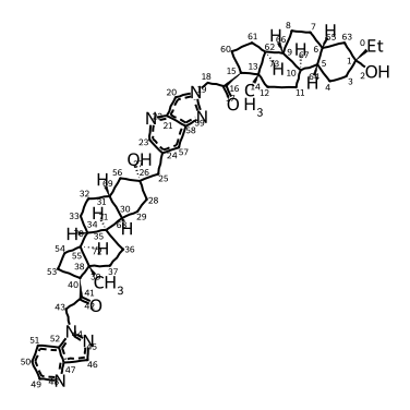 CC[C@@]1(O)CC[C@H]2[C@H](CC[C@@H]3[C@@H]2CC[C@]2(C)[C@@H](C(=O)Cn4cc5ncc(C[C@@]6(O)CC[C@H]7[C@H](CC[C@@H]8[C@@H]7CC[C@]7(C)[C@@H](C(=O)Cn9ncc%10ncccc%109)CC[C@@H]87)C6)cc5n4)CC[C@@H]32)C1